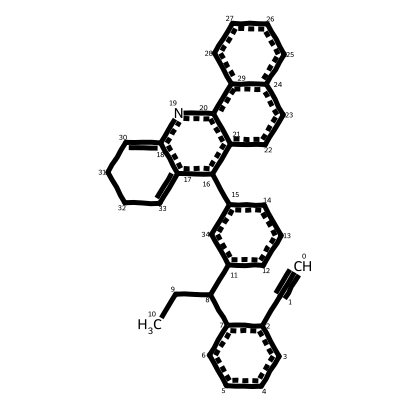 C#Cc1ccccc1C(CC)c1cccc(-c2c3c(nc4c2ccc2ccccc24)=CCCC=3)c1